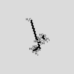 CC(C)[C@H](N)C(=O)O.CCCCCCCCCCCCCCCC(=O)N[C@@H](CCC(CN)C(O)CC(N)(N)C(=O)O)C(=O)O